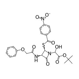 CC(C)(C)OC(=O)C(O)N1C(=O)[C@@H](NC(=O)COc2ccccc2)[C@H]1SC(=O)c1ccc([N+](=O)[O-])cc1